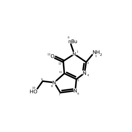 CCCCn1c(N)nc2ncn(CO)c2c1=O